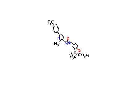 Cc1nc(-c2ccc(C(F)(F)F)cc2)ccc1CC(=O)NCc1ccc(OC(C)(C)C(=O)O)cc1